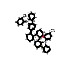 N#Cc1ccc(N2c3ccccc3C3=CCCC(c4ccccc4C4=CCCCC4c4ccc5c6ccccc6n(-c6ccccc6C#N)c5c4)C32)cc1